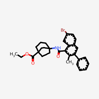 CCOC(=O)C12CCCC(NC(=O)c3c(C)c(-c4ccccc4)cc4ccc(Br)cc34)(CC1)CC2